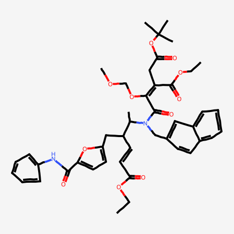 CCOC(=O)C=CC(Cc1ccc(C(=O)Nc2ccccc2)o1)C(C)N(Cc1ccc2ccccc2c1)C(=O)C(OCOC)=C(CC(=O)OC(C)(C)C)C(=O)OCC